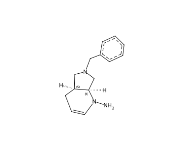 NN1C=CC[C@H]2CN(Cc3ccccc3)C[C@H]21